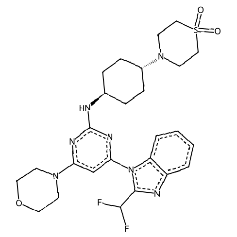 O=S1(=O)CCN([C@H]2CC[C@H](Nc3nc(N4CCOCC4)cc(-n4c(C(F)F)nc5ccccc54)n3)CC2)CC1